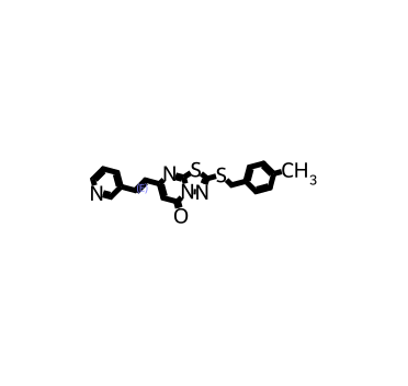 Cc1ccc(CSc2nn3c(=O)cc(/C=C/c4cccnc4)nc3s2)cc1